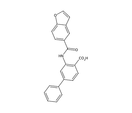 O=C(Nc1cc(-c2ccccc2)ccc1C(=O)O)c1ccc2occc2c1